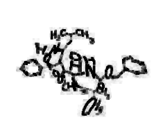 CCO[P@](=O)(c1ccccc1)[C@](O)(C(=O)[C@H](CC(C)C)NC(=O)OCc1ccccc1)[C@@H](N)CC(C)C